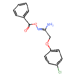 NC(COc1ccc(Cl)cc1)=NOC(=O)c1ccccc1